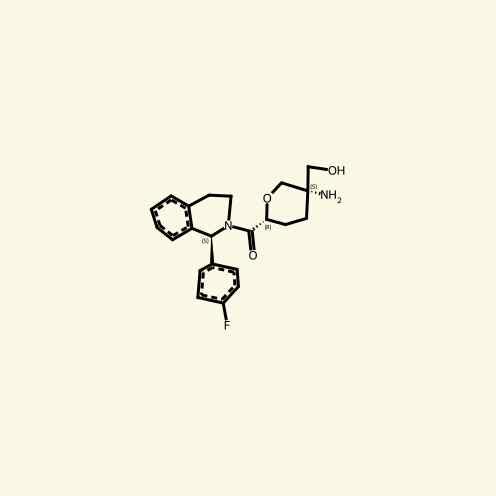 N[C@]1(CO)CC[C@H](C(=O)N2CCc3ccccc3[C@@H]2c2ccc(F)cc2)OC1